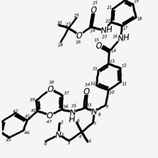 CN(C)CC(C)(C)CN(Cc1ccc(C(=O)Nc2ccccc2NC(=O)OC(C)(C)C)cc1)C(=O)NC1=COC=C(C2=CC=CCC2)O1